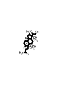 CC(=O)CC[C@@]1(C)C(=O)CC[C@H]2[C@@H]3C[C@@H](O)[C@](O)(C(=O)CO)[C@@]3(C)C[C@H](O)[C@@]21F